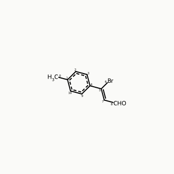 Cc1ccc(C(Br)=CC=O)cc1